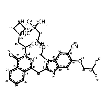 C[Si](C)(C)CCOCn1c(Cc2nn(C(CN3CCC3)C(=O)O)c(=O)c3ccccc23)nc2cc(OCC(F)F)c(C#N)cc21